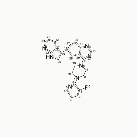 Fc1cccnc1N1CCN(c2ncnc3ccc(-c4c[nH]c5ncccc45)cc23)CC1